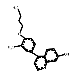 CCCCOc1ccc(-c2ccnc3cc(O)ccc23)cc1C